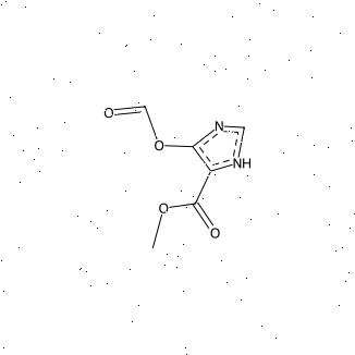 COC(=O)c1[nH]cnc1OC=O